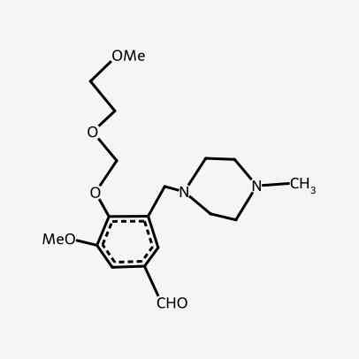 COCCOCOc1c(CN2CCN(C)CC2)cc(C=O)cc1OC